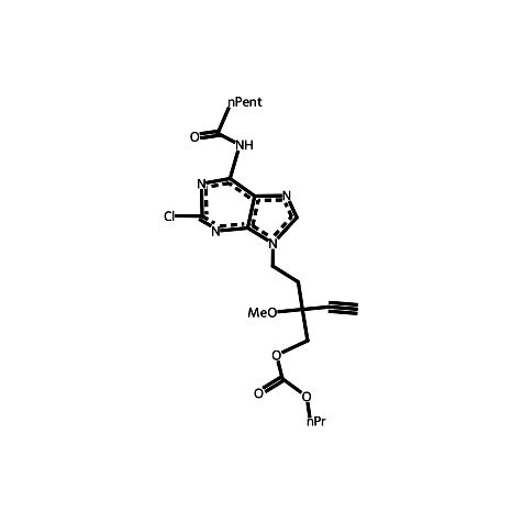 C#CC(CCn1cnc2c(NC(=O)CCCCC)nc(Cl)nc21)(COC(=O)OCCC)OC